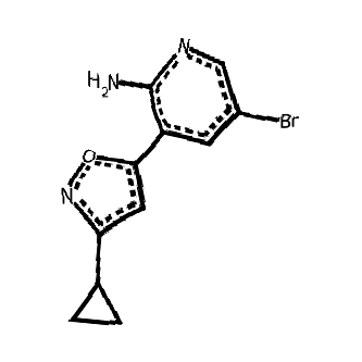 Nc1ncc(Br)cc1-c1cc(C2CC2)no1